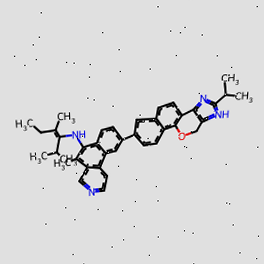 CC/C(C)=C(/Nc1c(C)c2cnccc2c2cc(-c3ccc4c5c(ccc4c3)-c3nc(C(C)C)[nH]c3CO5)ccc12)C(C)C